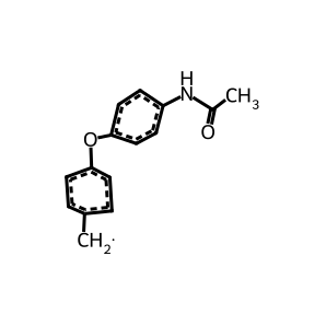 [CH2]c1ccc(Oc2ccc(NC(C)=O)cc2)cc1